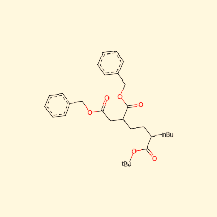 CCCCC(CCC(CC(=O)OCc1ccccc1)C(=O)OCc1ccccc1)C(=O)OC(C)(C)C